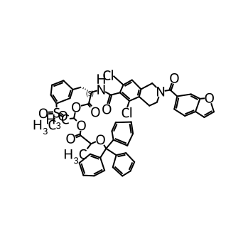 CC(OC(=O)C(C)OC(c1ccccc1)(c1ccccc1)c1ccccc1)OC(=O)[C@H](Cc1cccc(S(C)(=O)=O)c1)NC(=O)c1c(Cl)cc2c(c1Cl)CCN(C(=O)c1ccc3ccoc3c1)C2